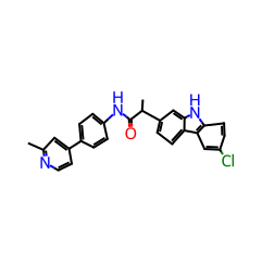 Cc1cc(-c2ccc(NC(=O)C(C)c3ccc4c(c3)[nH]c3ccc(Cl)cc34)cc2)ccn1